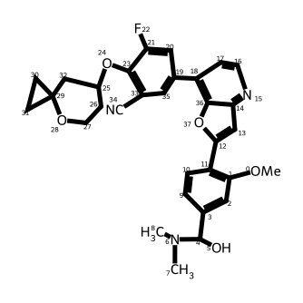 COc1cc(C(O)N(C)C)ccc1-c1cc2nccc(-c3cc(F)c(OC4CCOC5(CC5)C4)c(C#N)c3)c2o1